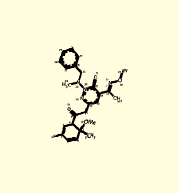 COC1(C)C=CC(F)=CC1C(=O)Cc1cc(/C(C)=N/OC(C)C)c(=O)n(N(C)Cc2ccccc2)n1